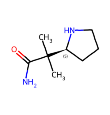 CC(C)(C(N)=O)[C@@H]1CCCN1